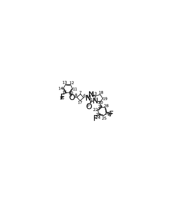 O=c1n2c(nn1[C@H]1C[C@H](Oc3ccccc3F)C1)CC[C@H]2c1cc(F)cc(F)c1